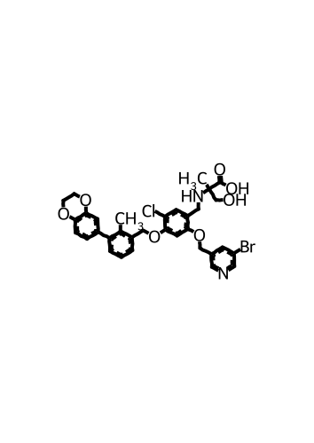 Cc1c(COc2cc(OCc3cncc(Br)c3)c(CNC(C)(CO)C(=O)O)cc2Cl)cccc1-c1ccc2c(c1)OCCO2